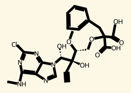 C#C[C@@](O)([C@@H](COC(Cc1ccccc1)(C(=O)O)C(=O)O)OC)[C@@H](O)n1cnc2c(NC)nc(Cl)nc21